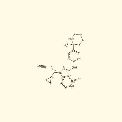 CC1(c2ccc(Nc3nn([C@@H](CC#N)C4CC4)c4cc[nH]c(=O)c34)cc2)CCCCN1